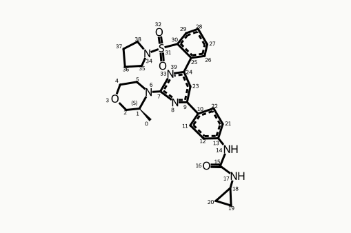 C[C@H]1COCCN1c1nc(-c2ccc(NC(=O)NC3CC3)cc2)cc(-c2ccccc2S(=O)(=O)N2CCCC2)n1